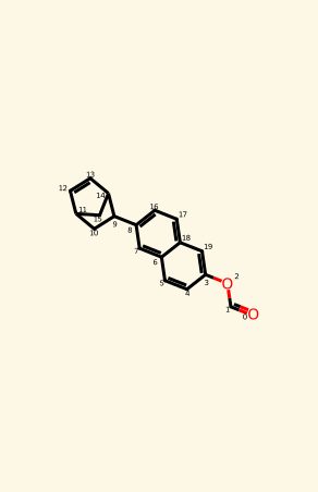 O=COc1ccc2cc(C3CC4C=CC3C4)ccc2c1